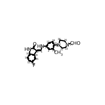 Cc1cc(NC=C2C(=O)Nc3ccc(F)cc32)ccc1N1CCN(C=O)CC1